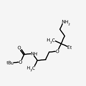 CCC(C)(CCN)OCCC(C)NC(=O)OC(C)(C)C